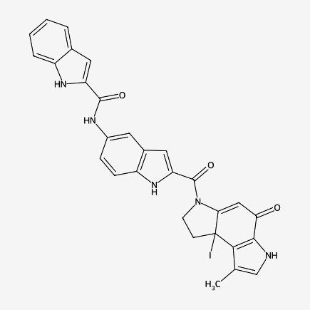 Cc1c[nH]c2c1C1(I)CCN(C(=O)c3cc4cc(NC(=O)c5cc6ccccc6[nH]5)ccc4[nH]3)C1=CC2=O